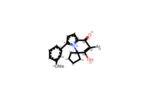 COc1cccc(-c2ccc3n2C2(CCCC2)C(O)=C(C(C)=O)C3=O)c1